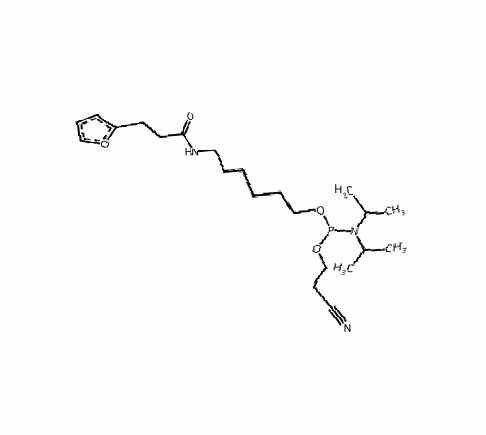 CC(C)N(C(C)C)P(OCCC#N)OCCCCCCNC(=O)CCc1ccco1